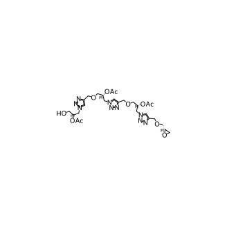 CC(=O)O[C@@H](CO)Cn1cc(COC[C@@H](Cn2cc(COC[C@@H](Cn3cc(COC[C@@H]4CO4)nn3)OC(C)=O)nn2)OC(C)=O)nn1